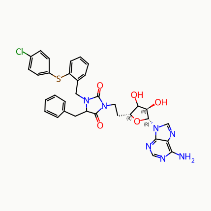 Nc1ncnc2c1ncn2[C@@H]1O[C@H](CCN2C(=O)C(Cc3ccccc3)N(Cc3ccccc3Sc3ccc(Cl)cc3)C2=O)C(O)[C@H]1O